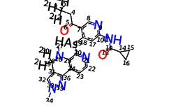 [2H]C([2H])([2H])CC(=O)c1cnc(NC(=O)C2CC2)cc1[AsH]c1nccc2c1N(C)C([2H])([2H])c1cn(C)nc1-2